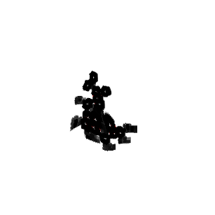 CC(C)(C)c1cc(-c2ccc3c(c2)N(c2c(-c4ccccc4)cc(C(C)(C)C)cc2-c2ccccc2)c2cc(-c4cc(C(C)(C)C)cc(C(C)(C)C)c4)cc4c2B3c2ccc(-n3c5ccccc5c5cc(-n6c7ccccc7c7ccccc76)ccc53)cc2N4c2c(-c3ccccc3)cc(C(C)(C)C)cc2-c2ccccc2)cc(C(C)(C)C)c1